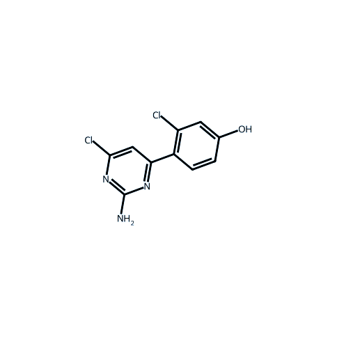 Nc1nc(Cl)cc(-c2ccc(O)cc2Cl)n1